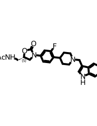 CC(=O)NC[C@H]1CN(c2ccc(C3CCN(Cc4c[nH]c5ccccc45)CC3)c(F)c2)C(=O)O1